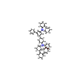 c1ccc(-c2cc(-c3ccc(N(c4ccccc4)c4ccccc4-c4ccccc4-c4ccccc4)cc3)cc(-n3c4ccccc4c4ccccc43)c2)cc1